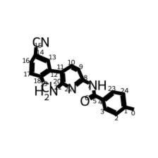 Cc1ccc(C(=O)Nc2ccc(-c3cc(C#N)ccc3Cl)c(N)n2)cc1